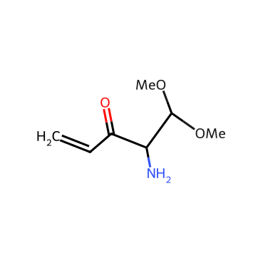 C=CC(=O)C(N)C(OC)OC